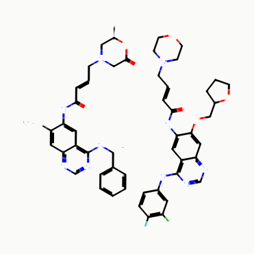 COc1cc2ncnc(N[C@H](C)c3ccccc3)c2cc1NC(=O)C=CCN1CC(=O)O[C@H](C)C1.O=C(C=CCN1CCOCC1)Nc1cc2c(Nc3ccc(F)c(Cl)c3)ncnc2cc1OCC1CCCO1